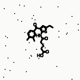 CCc1cc(C(=O)c2ccc(C)c(C)c2)c(NC(=O)CSCC(=O)O)s1